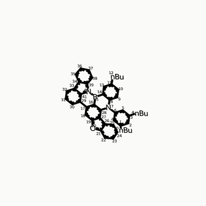 CCCCc1cc(CCCC)cc(N2c3ccc(CCCC)cc3B3c4c(cc5oc6ccccc6c5c42)-c2cccc4c5ccccc5n3c24)c1